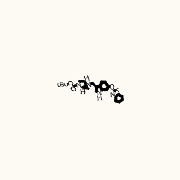 CC(C)(C)OC(=O)N1C[C@@H]2C[C@H]1CN2Cc1c[nH]c2cc(Oc3nc4ccccc4s3)ccc12